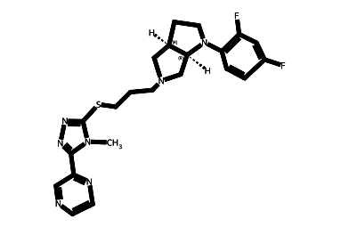 Cn1c(SCCCN2C[C@H]3CCN(c4ccc(F)cc4F)[C@H]3C2)nnc1-c1cnccn1